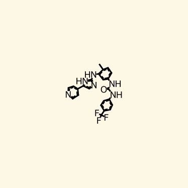 Cc1ccc(NC(=O)Nc2ccc(C(F)(F)F)cc2)cc1Nc1ncc(-c2ccncc2)[nH]1